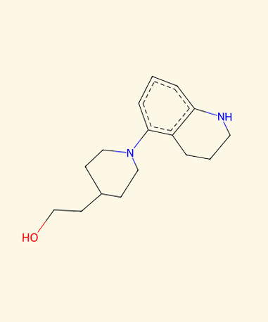 OCCC1CCN(c2cccc3c2CCCN3)CC1